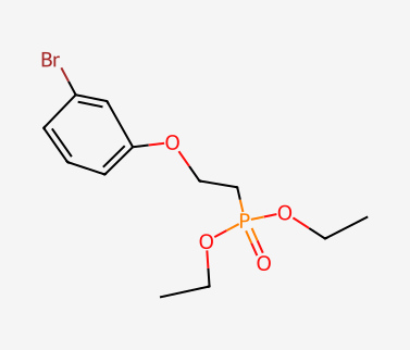 CCOP(=O)(CCOc1cccc(Br)c1)OCC